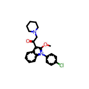 COc1c(C(=O)CN2CCCCC2)c2ccccc2n1-c1ccc(Cl)cc1